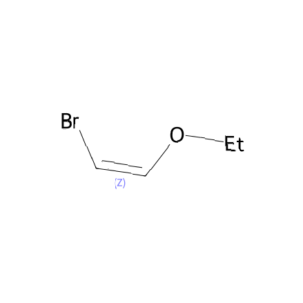 CCO/C=C\Br